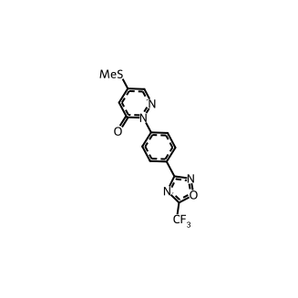 CSc1cnn(-c2ccc(-c3noc(C(F)(F)F)n3)cc2)c(=O)c1